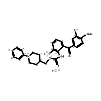 COc1ccc(C(=O)c2cccc(N)c2NC(=O)OCC2CCN(c3ccncc3)CC2)cc1F.Cl